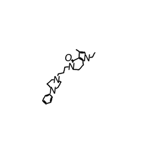 CCn1cc(C)c2c1CCCN(CCCN1CCN(c3ccccc3)CC1)C2=O